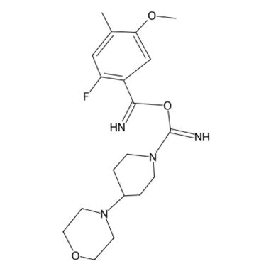 COc1cc(C(=N)OC(=N)N2CCC(N3CCOCC3)CC2)c(F)cc1C